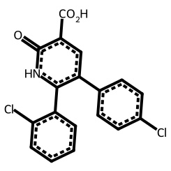 O=C(O)c1cc(-c2ccc(Cl)cc2)c(-c2ccccc2Cl)[nH]c1=O